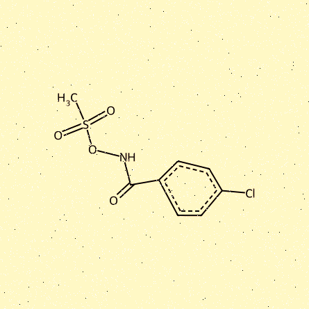 CS(=O)(=O)ONC(=O)c1ccc(Cl)cc1